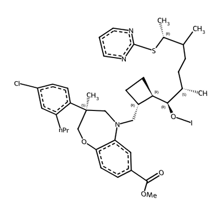 CCCc1cc(Cl)ccc1[C@]1(C)COc2ccc(C(=O)OC)cc2N(C[C@@H]2CC[C@H]2[C@H](OI)[C@@H](C)CCC(C)[C@@H](C)Sc2ncccn2)C1